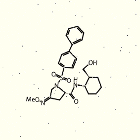 CON=C1C[C@@H](C(=O)N[C@@H]2CCCC[C@@H]2CO)N(S(=O)(=O)c2ccc(-c3ccccc3)cc2)C1